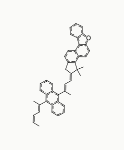 C/C=C\C=C(/C)c1c2ccccc2c(/C(C)=C/C=C2\Cc3ccc4c(ccc5oc6ccccc6c54)c3C2(C)C)c2ccccc12